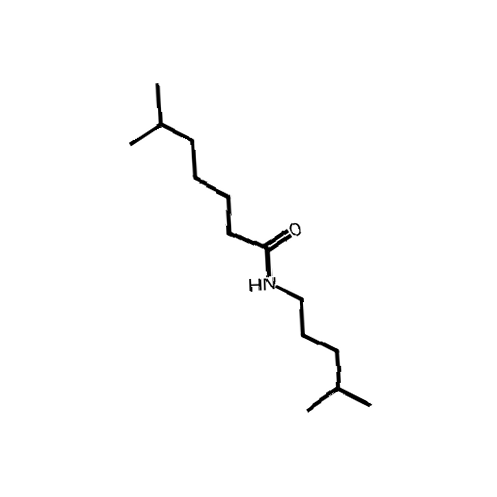 CC(C)CCCCC(=O)NCCCC(C)C